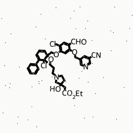 CCOC(=O)CC1(O)CCN(CCCOC2(COc3cc(OCc4cncc(C#N)c4)c(C=O)cc3Cl)C=CC=C(c3ccccc3)C2(C)Cl)C1